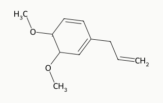 C=CCC1=CC(OC)[C](OC)C=C1